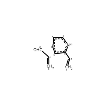 C=CC=O.C=Cc1ccccn1